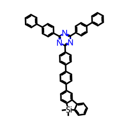 C[Si]1(C)c2ccccc2-c2cc(-c3ccc(-c4ccc(-c5nc(-c6ccc(-c7ccccc7)cc6)nc(-c6ccc(-c7ccccc7)cc6)n5)cc4)cc3)ccc21